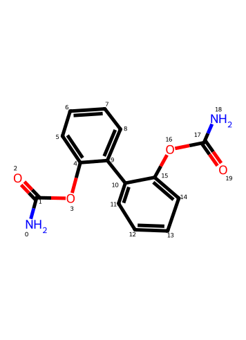 NC(=O)Oc1ccccc1-c1ccccc1OC(N)=O